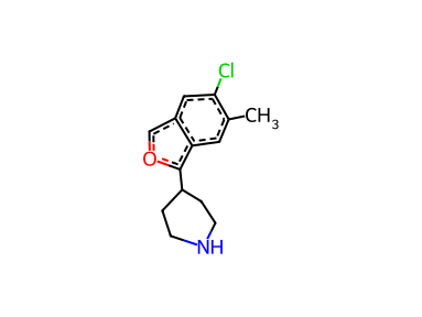 Cc1cc2c(C3CCNCC3)occ2cc1Cl